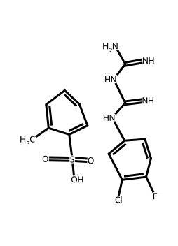 Cc1ccccc1S(=O)(=O)O.N=C(N)NC(=N)Nc1ccc(F)c(Cl)c1